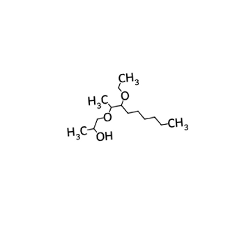 CCCCCCC(OCC)C(C)OCC(C)O